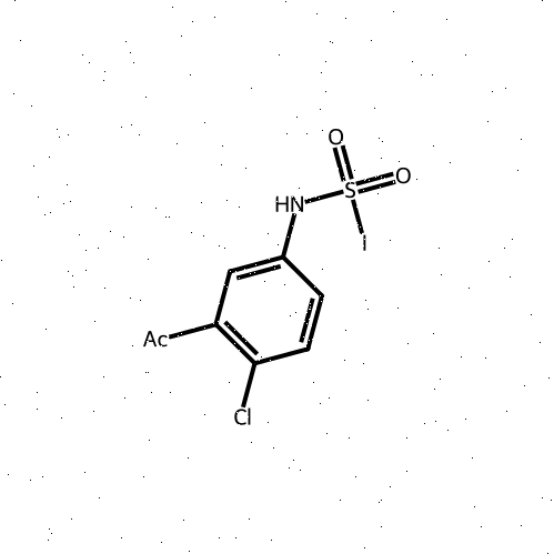 CC(=O)c1cc(NS(=O)(=O)I)ccc1Cl